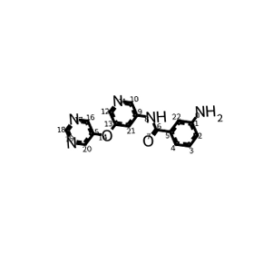 Nc1cccc(C(=O)Nc2cncc(Oc3cncnc3)c2)c1